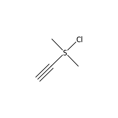 C#CS(C)(C)Cl